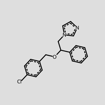 Clc1ccc(COC(Cn2ccnc2)c2ccccc2)cc1